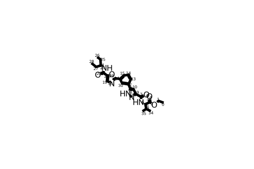 CCOC(=O)[C@@H](NC(=O)c1cc(-c2cccc(-c3ncc(C(=O)NC(CC)CC)o3)c2)[nH]n1)C(C)C